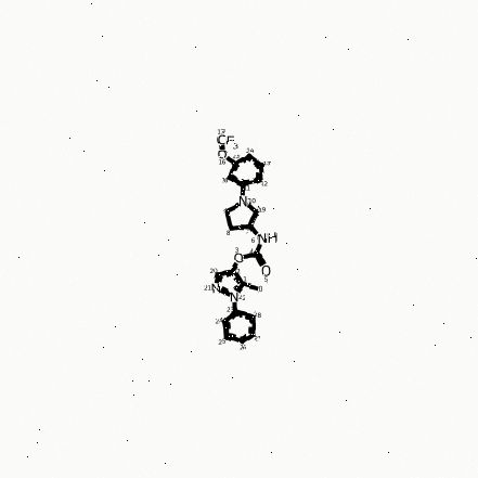 Cc1c(OC(=O)NC2CCN(c3cccc(OC(F)(F)F)c3)C2)cnn1-c1ccccc1